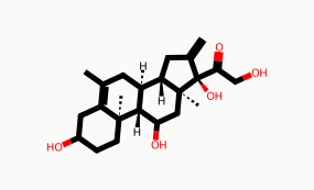 C=C1C[C@H]2[C@@H]3CC(C)=C4CC(O)CC[C@]4(C)[C@H]3C(O)C[C@]2(C)[C@@]1(O)C(=O)CO